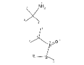 CC(C)(C)N.C[CH](C)[Ti](=[O])[CH](C)C